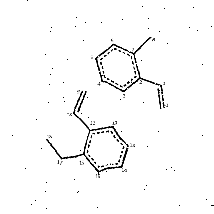 C=Cc1ccccc1C.C=Cc1ccccc1CC